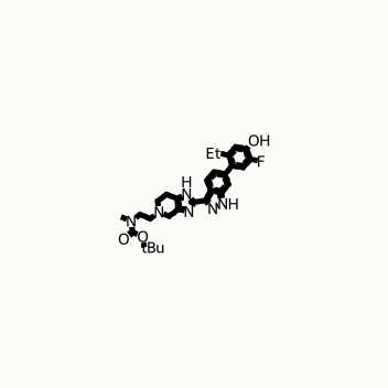 CCc1cc(O)c(F)cc1-c1ccc2c(-c3nc4c([nH]3)CCN(CCN(C)C(=O)OC(C)(C)C)C4)n[nH]c2c1